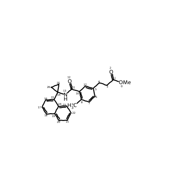 COC(=O)CCc1ccc(C)c(C(=O)NC2(c3cccc4ccccc34)CC2)c1